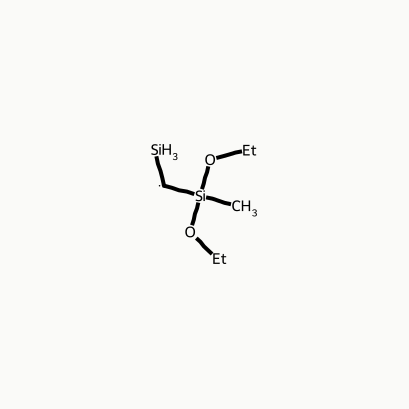 CCO[Si](C)([CH][SiH3])OCC